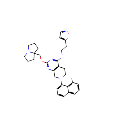 CCc1cccc2cccc(N3CCc4c(nc(OCC56CCCN5CCC6)nc4NCCc4ccno4)C3)c12